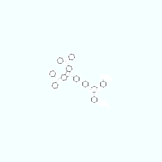 Cc1cccc(-c2cc(-c3ccc(-c4ccc(-n5c6ccc(N(c7ccccc7)c7ccccc7)cc6c6cc(N(c7ccccc7)c7ccccc7)ccc65)cc4)cc3)nc(-c3cccc(C)c3)n2)c1